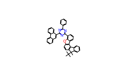 CC(C)(C)C1(C)c2ccccc2-c2c1ccc1oc3c(-c4nc(-c5ccccc5)nc(-c5cc6ccccc6c6ccccc56)n4)cccc3c21